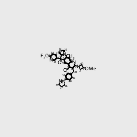 COC1CN(c2nc3ccc(C(O)(c4ccc(C(F)(F)F)nc4)c4cncn4C)cc3c(Cl)c2Cc2ccc(N3CCC=N3)cc2)C1